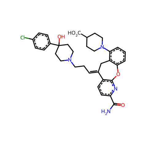 NC(=O)c1ccc2c(n1)Oc1cccc(N3CCC(C(=O)O)CC3)c1CC2=CCCN1CCC(O)(c2ccc(Cl)cc2)CC1